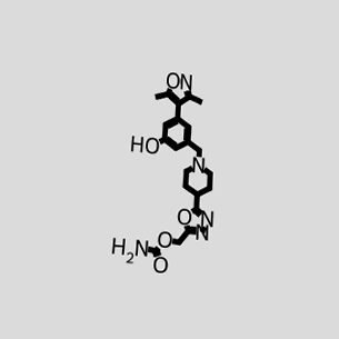 Cc1noc(C)c1-c1cc(O)cc(CN2CCC(c3nnc(COC(N)=O)o3)CC2)c1